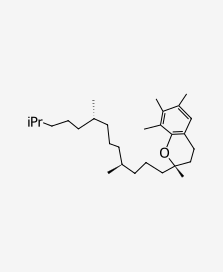 Cc1cc2c(c(C)c1C)O[C@@](C)(CCC[C@@H](C)CCC[C@@H](C)CCCC(C)C)CC2